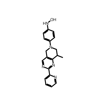 CC1CN(c2ccc(NO)cc2)Cc2cnc(-c3ccccn3)nc21